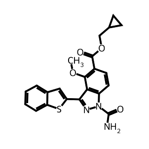 COc1c(C(=O)OCC2CC2)ccc2c1c(-c1cc3ccccc3s1)nn2C(N)=O